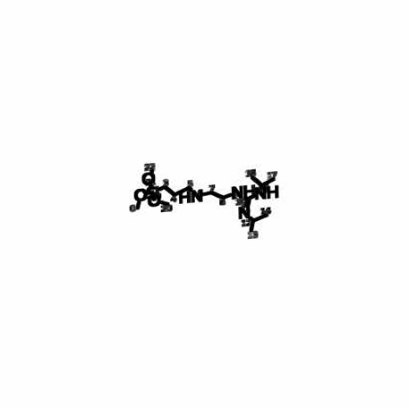 CO[Si](CCCNCCNC(=NC(C)C)NC(C)C)(OC)OC